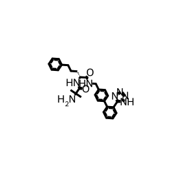 CC(C)(N)C(=O)N[C@H](CCCc1ccccc1)C(=O)NCc1ccc(-c2ccccc2-c2nnn[nH]2)cc1